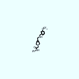 CC(C)NC(=O)CN1CC2C(CNCc3cccc(OC(F)(F)F)c3)C2C1